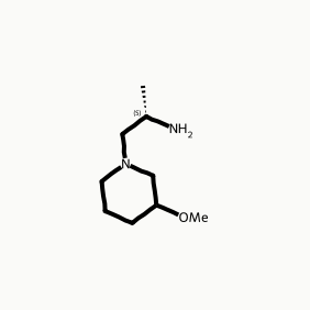 COC1CCCN(C[C@H](C)N)C1